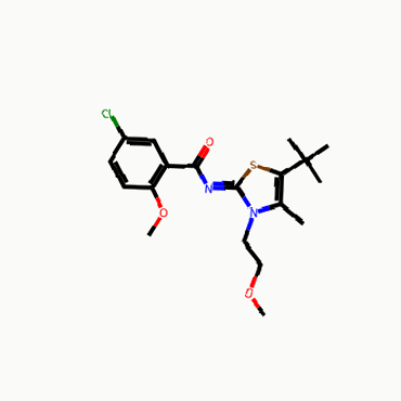 COCCn1c(C)c(C(C)(C)C)sc1=NC(=O)c1cc(Cl)ccc1OC